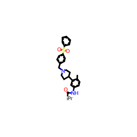 Cc1ccc(NC(=O)C(C)C)cc1C1CCN(Cc2ccc(S(=O)(=O)c3ccccc3)cc2)CC1